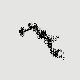 CC(NC(=O)C(NC(=O)CCCCCN1C(=O)C=CC1=O)C(C)C)C(=O)Nc1ccc(C(=O)NCCCC(NC(=O)c2ccc(CCc3ccc4nc(N)nc(N)c4c3F)cc2)C(=O)O)c(-c2nnn[nH]2)c1